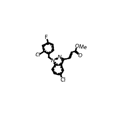 COC(=O)C=Cc1nn(Cc2ccc(F)cc2Cl)c2ccc(Cl)cc12